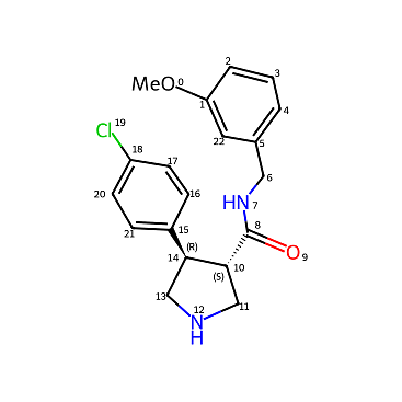 COc1cccc(CNC(=O)[C@@H]2CNC[C@H]2c2ccc(Cl)cc2)c1